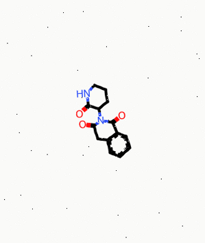 O=C1NCCCC1N1C(=O)Cc2ccccc2C1=O